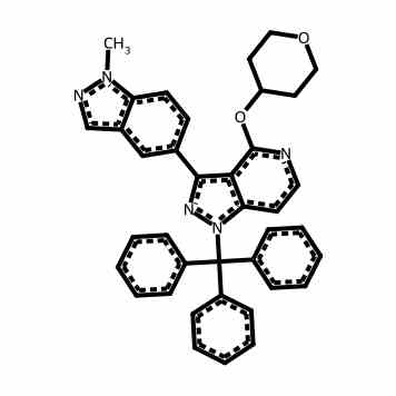 Cn1ncc2cc(-c3nn(C(c4ccccc4)(c4ccccc4)c4ccccc4)c4ccnc(OC5CCOCC5)c34)ccc21